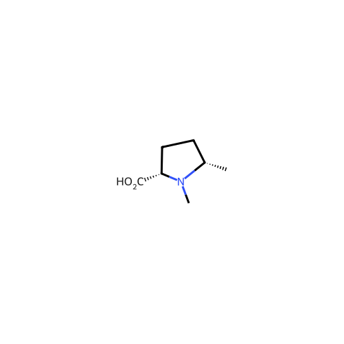 C[C@H]1CC[C@@H](C(=O)O)N1C